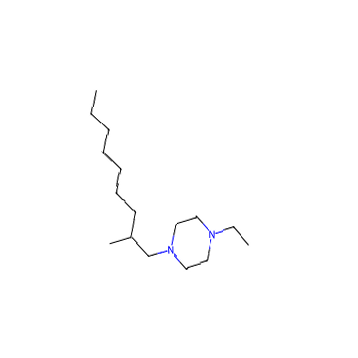 CCCCCCCC(C)CN1CCN(CC)CC1